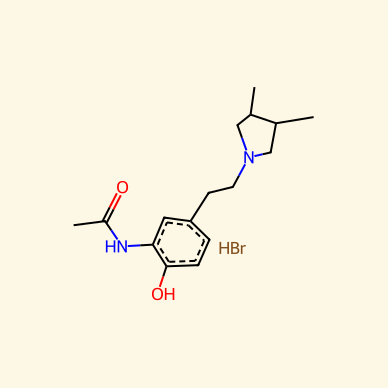 Br.CC(=O)Nc1cc(CCN2CC(C)C(C)C2)ccc1O